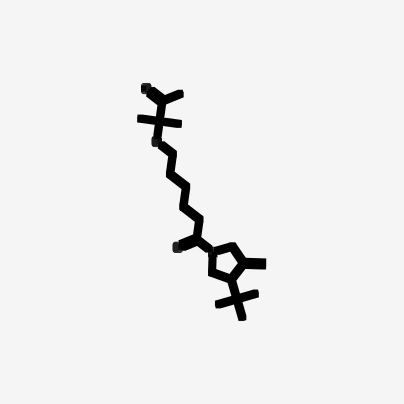 C=C1CN(C(=O)CCCCCOC(C)(C)C(C)=O)CC1C(C)(C)C